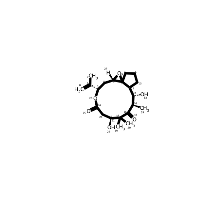 C=C(C)[C@@H]1C[C@@H]2OC23CCCC3[C@H](O)[C@@H](C)C(=O)C(C)(C)[C@@H](O)CC(=O)O1